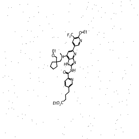 CCOCC1(CN(C)c2cc(-c3cnc(OCC)c(C(F)(F)F)c3)nc3nc(NC(=O)c4ccc(CCCC(=O)OCC)cn4)[nH]c23)CCCC1